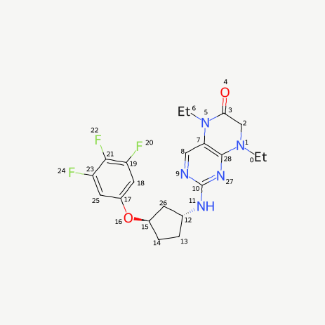 CCN1CC(=O)N(CC)c2cnc(N[C@@H]3CC[C@@H](Oc4cc(F)c(F)c(F)c4)C3)nc21